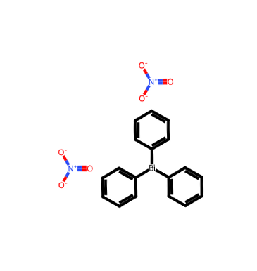 O=[N+]([O-])[O-].O=[N+]([O-])[O-].c1cc[c]([Bi]([c]2ccccc2)[c]2ccccc2)cc1